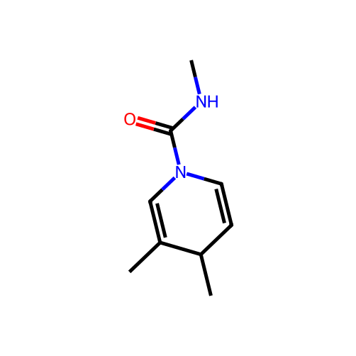 CNC(=O)N1C=CC(C)C(C)=C1